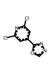 Clc1cc(-c2nnco2)cc(Cl)n1